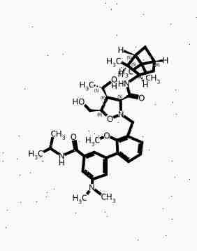 COc1c(CN2O[C@@H](CO)[C@@H]([C@H](C)O)[C@H]2C(=O)N[C@@H]2C[C@H]3C[C@@H]([C@@H]2C)C3(C)C)cccc1-c1cc(C(=O)NC(C)C)cc(N(C)C)c1